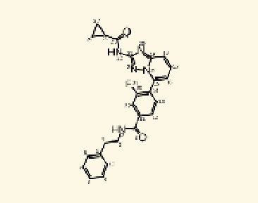 O=C(NCCc1ccccc1)c1ccc(-c2cccc3nc(NC(=O)C4CC4)nn23)c(F)c1